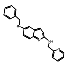 c1ccc(CNc2ccc3cc(NCc4cccnc4)ccc3n2)nc1